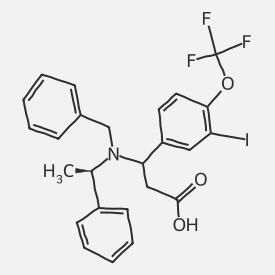 C[C@H](c1ccccc1)N(Cc1ccccc1)C(CC(=O)O)c1ccc(OC(F)(F)F)c(I)c1